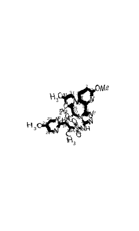 COc1cccc(-c2nnc(NS(=O)(=O)[C@@H](C)[C@@H](OC(C)C)c3ncc(C)cn3)n2[C@@H](C)c2ncc(C)o2)n1